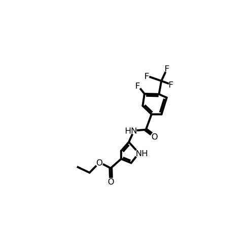 CCOC(=O)c1c[nH]c(NC(=O)c2ccc(C(F)(F)F)c(F)c2)c1